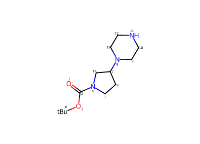 CC(C)(C)OC(=O)N1CCC(N2CCNCC2)C1